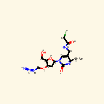 CC(=O)Nc1nc(=O)n(C2CC(OCN=[N+]=[N-])C(CO)O2)cc1CNC(=O)CF